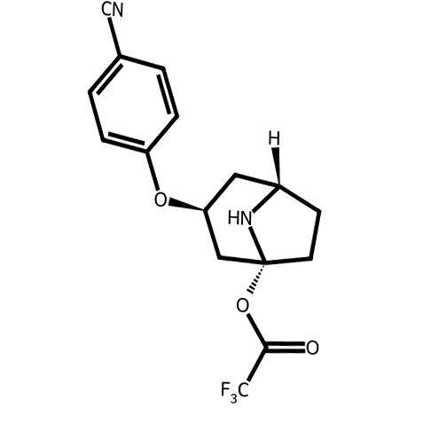 N#Cc1ccc(O[C@H]2C[C@@H]3CC[C@@](OC(=O)C(F)(F)F)(C2)N3)cc1